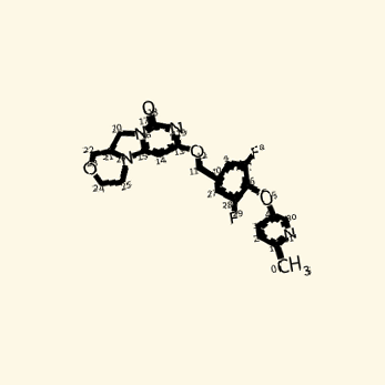 Cc1ccc(Oc2c(F)cc(COc3cc4n(c(=O)n3)CC3COCCN43)cc2F)cn1